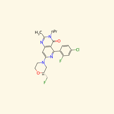 CCCn1c(C)nc2cc(N3CCO[C@@H](CF)C3)nc(-c3ccc(Cl)cc3F)c2c1=O